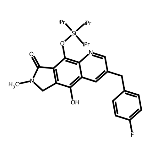 CC(C)[Si](Oc1c2c(c(O)c3cc(Cc4ccc(F)cc4)cnc13)CN(C)C2=O)(C(C)C)C(C)C